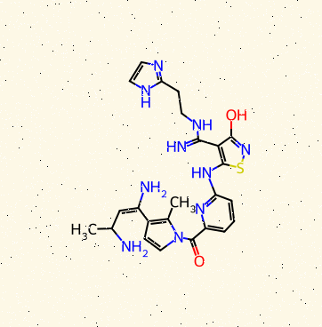 Cc1c(/C(N)=C\C(C)N)ccn1C(=O)c1cccc(Nc2snc(O)c2C(=N)NCCc2ncc[nH]2)n1